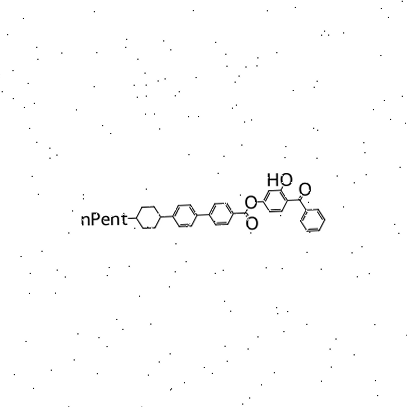 CCCCCC1CCC(c2ccc(-c3ccc(C(=O)Oc4ccc(C(=O)c5ccccc5)c(O)c4)cc3)cc2)CC1